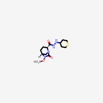 O=C(NNC1CCSCC1)[C@@H]1CC[C@@H]2CN1C(=O)N2OS(=O)(=O)O